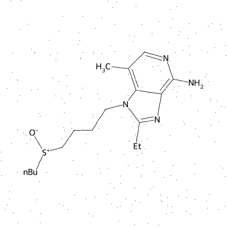 CCCC[S+]([O-])CCCCn1c(CC)nc2c(N)ncc(C)c21